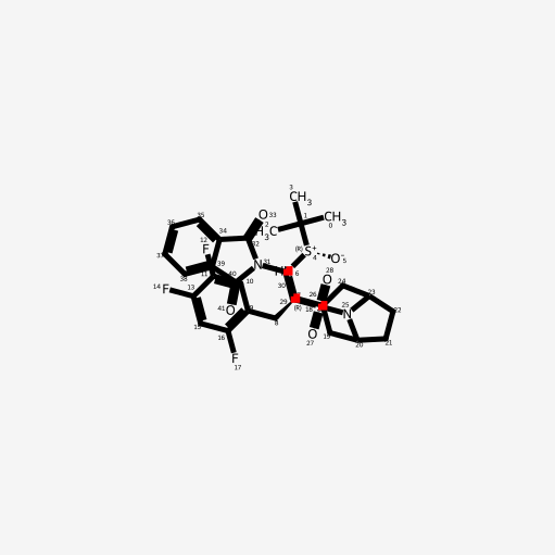 CC(C)(C)[S@+]([O-])N[C@H](Cc1cc(F)c(F)cc1F)C1CC2CCC(C1)N2S(=O)(=O)CCN1C(=O)c2ccccc2C1=O